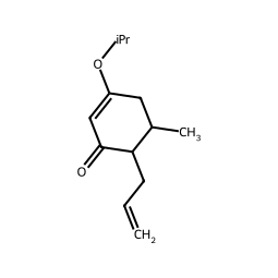 C=CCC1C(=O)C=C(OC(C)C)CC1C